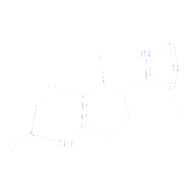 O=C1COc2c(ccc(-c3[nH]cnc3F)c2F)N1